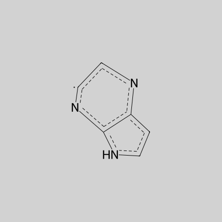 [c]1cnc2cc[nH]c2n1